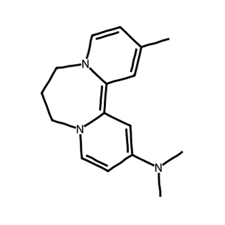 CC1=CC2=C3C=C(N(C)C)C=CN3CCCN2C=C1